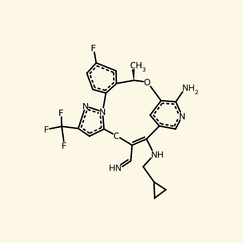 C[C@H]1Oc2cc(cnc2N)/C(NCC2CC2)=C(/C=N)Cc2cc(C(F)(F)F)nn2-c2ccc(F)cc21